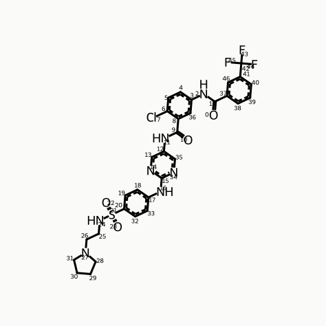 O=C(Nc1ccc(Cl)c(C(=O)Nc2cnc(Nc3ccc(S(=O)(=O)NCCN4CCCC4)cc3)nc2)c1)c1cccc(C(F)(F)F)c1